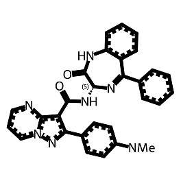 CNc1ccc(-c2nn3cccnc3c2C(=O)N[C@H]2N=C(c3ccccc3)c3ccccc3NC2=O)cc1